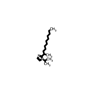 CCCCCCCCCCC(C)c1nccn1C(C)C